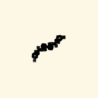 Cc1c(NC(=O)c2cn3c(n2)CNCC3)cccc1-c1cccc(NC(=O)c2cc3c(s2)CCNC3)c1C